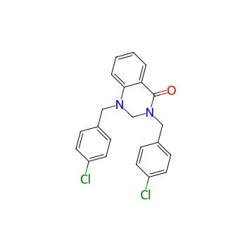 O=C1c2ccccc2N(Cc2ccc(Cl)cc2)CN1Cc1ccc(Cl)cc1